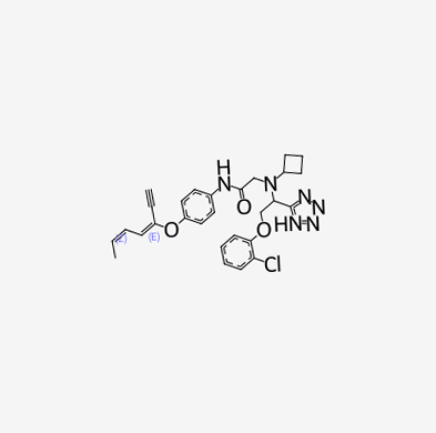 C#C/C(=C\C=C/C)Oc1ccc(NC(=O)CN(C2CCC2)C(COc2ccccc2Cl)c2nnn[nH]2)cc1